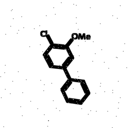 COc1cc(-c2ccccc2)ccc1Cl